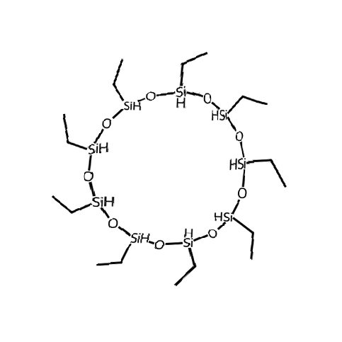 CC[SiH]1O[SiH](CC)O[SiH](CC)O[SiH](CC)O[SiH](CC)O[SiH](CC)O[SiH](CC)O[SiH](CC)O[SiH](CC)O1